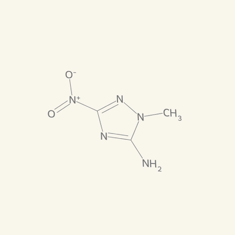 Cn1nc([N+](=O)[O-])nc1N